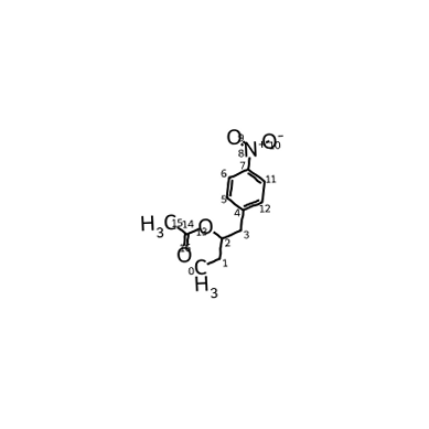 CCC(Cc1ccc([N+](=O)[O-])cc1)OC(C)=O